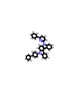 c1ccc(-c2ccc(-n3c4ccccc4c4c5c6ccccc6n(-c6cccc(-c7ccccc7)n6)c5ccc43)cc2)cc1